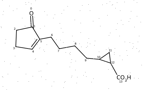 O=C1CCC=C1CCCCC1CC1C(=O)O